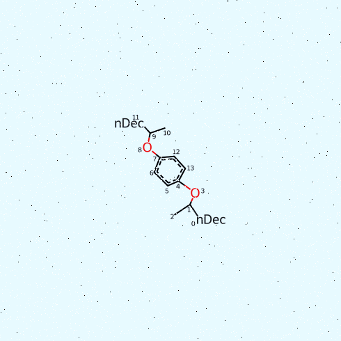 CCCCCCCCCCC(C)Oc1ccc(OC(C)CCCCCCCCCC)cc1